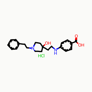 Cl.O=C(O)c1ccc(NCCC2(O)CCN(CCc3ccccc3)CC2)cc1